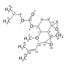 COC1C(OC(=O)OCC(C)C)CCC2(CO2)C1C1(C)OC1CC=C(C)C